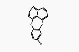 Brc1ccc2c(c1)Oc1cccc3cccc(c13)O2